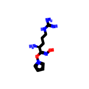 N=C(N)NCCC[C@H](N)C(=NO)On1cccc1